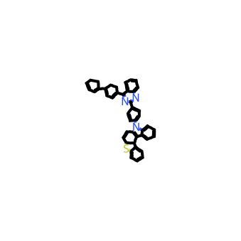 C1=CCCC(C2=CC=C(c3nc(-c4ccc(-n5c6c(c7ccccc75)C5c7ccccc7SC5C=C6)cc4)nc4ccccc34)CC2)=C1